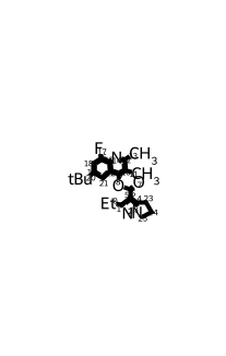 CCc1nn2c(c1C(=O)Oc1c(C)c(C)nc3c(F)cc(C(C)(C)C)cc13)CCC2